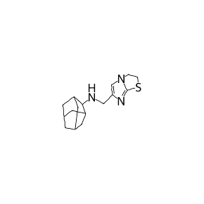 c1c(CNC2C3CC4CC(C3)CC2C4)nc2n1CCS2